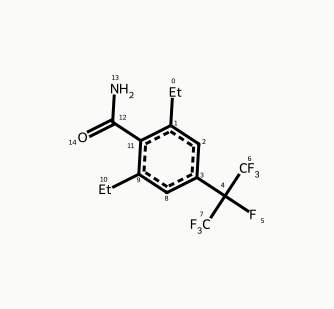 CCc1cc(C(F)(C(F)(F)F)C(F)(F)F)cc(CC)c1C(N)=O